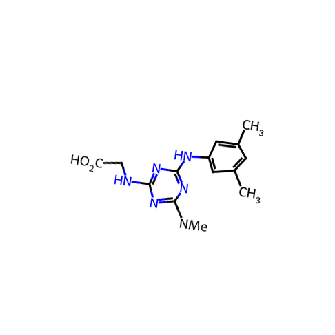 CNc1nc(NCC(=O)O)nc(Nc2cc(C)cc(C)c2)n1